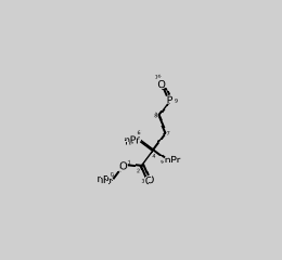 CCCOC(=O)C(CCC)(CCC)CCP=O